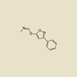 C/N=C\Oc1cc(-c2ccccc2)no1